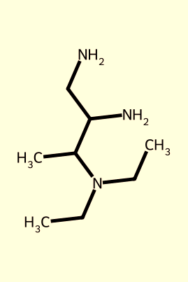 CCN(CC)C(C)C(N)CN